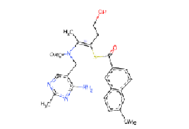 COc1ccc2cc(C(=O)S/C(CCO)=C(/C)N(C=O)Cc3cnc(C)nc3N)ccc2c1